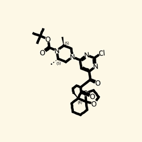 C[C@H]1CN(c2cc(C(=O)C3CCC[C@@]4(CCCCC45OCCO5)C3=O)nc(Cl)n2)C[C@H](C)N1C(=O)OC(C)(C)C